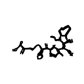 CCN1C(=C(C#N)c2nc(NC(=O)CCCNC(=O)O)ncc2C)Nc2ccccc21